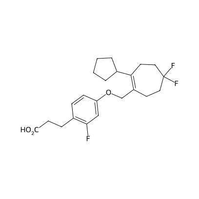 O=C(O)CCc1ccc(OCC2=C(C3CCCC3)CCC(F)(F)CC2)cc1F